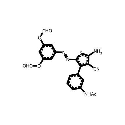 CC(=O)Nc1cccc(-c2c(N=Nc3cc(OC=O)cc(OC=O)c3)sc(N)c2C#N)c1